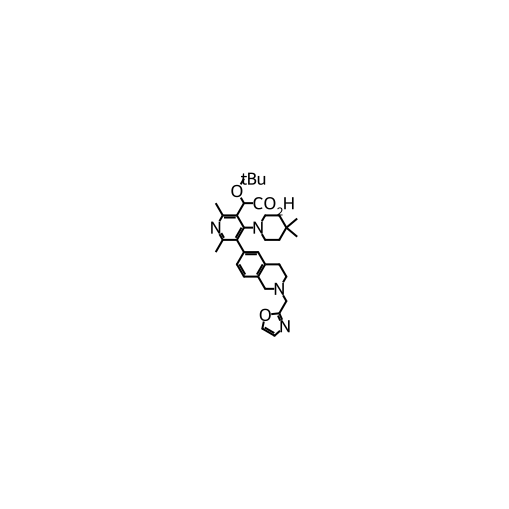 Cc1nc(C)c(C(OC(C)(C)C)C(=O)O)c(N2CCC(C)(C)CC2)c1-c1ccc2c(c1)CCN(Cc1ncco1)C2